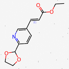 CCOC(=O)/C=C/c1ccc(C2OCCO2)nc1